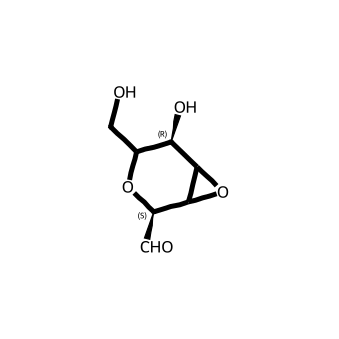 O=C[C@H]1OC(CO)[C@@H](O)C2OC21